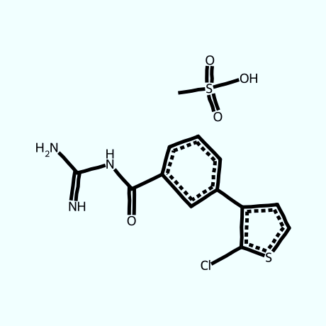 CS(=O)(=O)O.N=C(N)NC(=O)c1cccc(-c2ccsc2Cl)c1